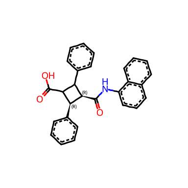 O=C(O)C1C(c2ccccc2)[C@@H](C(=O)Nc2cccc3ccccc23)[C@H]1c1ccccc1